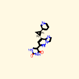 O=c1[nH]cc(-c2cc([C@@H]3C[C@H]3c3cccnc3)c3nccn3n2)c(=O)[nH]1